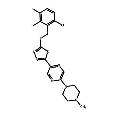 CN1CCN(c2cnc(-c3nnc(SCc4c(Cl)ccc(F)c4Cl)s3)cn2)CC1